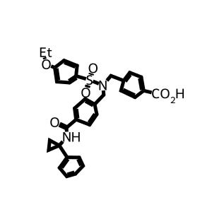 CCOc1ccc(S(=O)(=O)N(Cc2ccc(C(=O)O)cc2)Cc2ccc(C(=O)NC3(c4ccccc4)CC3)cc2)cc1